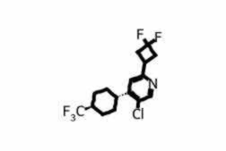 FC1(F)CC(c2cc([C@H]3CC[C@H](C(F)(F)F)CC3)c(Cl)cn2)C1